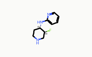 F[C@H]1CNCC[C@@H]1Nc1ccccn1